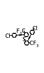 FC(F)(F)c1cccc(Sc2cccc(C(F)(F)F)c2C#Cc2ccc(Cl)cc2)c1C#Cc1ccc(Cl)cc1